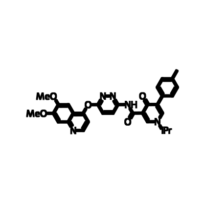 COc1cc2nccc(Oc3ccc(NC(=O)c4cn(C(C)C)cc(-c5ccc(C)cc5)c4=O)nn3)c2cc1OC